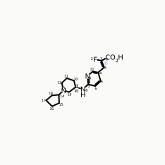 O=C(O)/C(F)=C/c1ccc(N[C@@H]2CCCN(C3CCCC3)C2)nc1